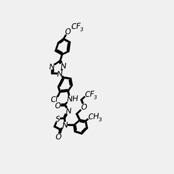 Cc1cccc(N2C(=O)CSC2=NC(=O)Nc2ccc(-n3cnc(-c4ccc(OC(F)(F)F)cc4)n3)cc2Cl)c1COCC(F)(F)F